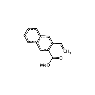 C=Cc1cc2ccccc2cc1C(=O)OC